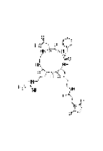 N=C(N)NCCCC1NC(=O)C(CCCCNC(=O)CCN2C(=O)C=CC2=O)NC(=O)[C@@H](Cc2ccccc2)NC(=O)[C@@H](CC(=O)O)NCCNC1=O